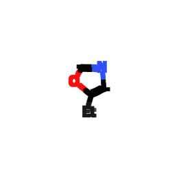 CCc1[c]n[c]o1